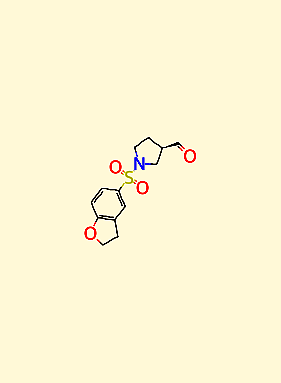 O=C[C@@H]1CCN(S(=O)(=O)c2ccc3c(c2)CCO3)C1